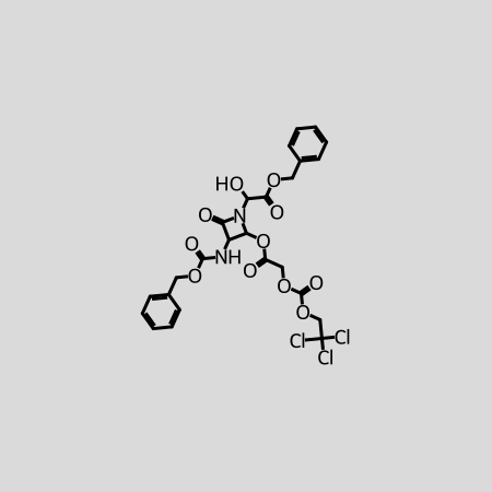 O=C(COC(=O)OCC(Cl)(Cl)Cl)OC1C(NC(=O)OCc2ccccc2)C(=O)N1C(O)C(=O)OCc1ccccc1